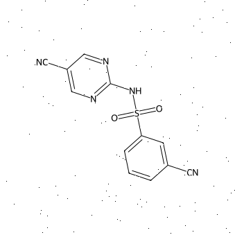 N#Cc1cnc(NS(=O)(=O)c2cccc(C#N)c2)nc1